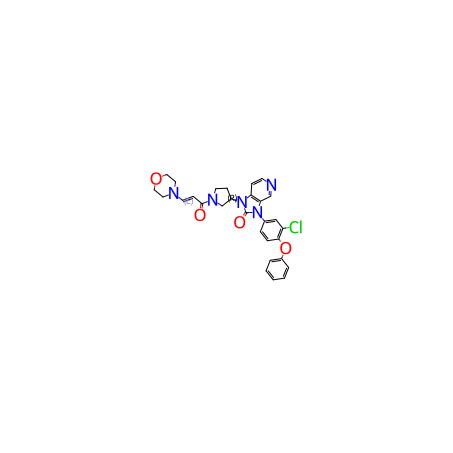 O=C(/C=C/N1CCOCC1)N1CC[C@@H](n2c(=O)n(-c3ccc(Oc4ccccc4)c(Cl)c3)c3cnccc32)C1